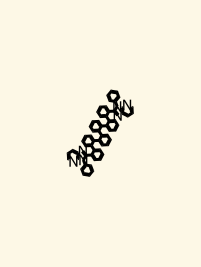 c1ccc(-n2c(-c3ccccc3-c3ccccc3-c3ccccc3-c3ccccc3-c3ccccc3-c3ccccc3-c3nc4cccnc4n3-c3ccccc3)nc3cccnc32)cc1